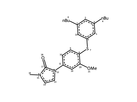 CCCCc1cc(CCCC)cc(Sc2ccc(-n3ccn(C)c3=O)cc2OC)c1